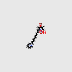 Cc1c(C)n(O)c(CCCCCCCCCCN2CCCCC2)c(C)c1=O